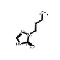 CCCCn1nc[nH]c1=O